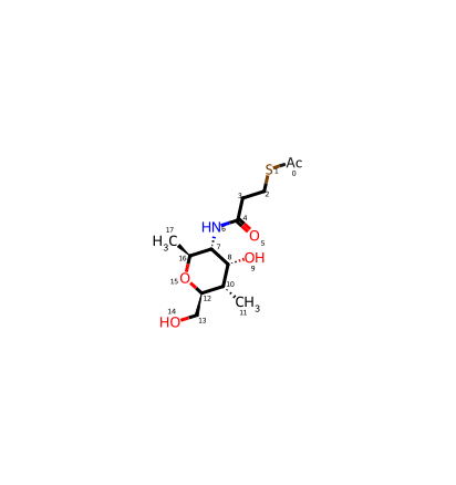 CC(=O)SCCC(=O)N[C@@H]1[C@H](O)[C@H](C)[C@@H](CO)O[C@H]1C